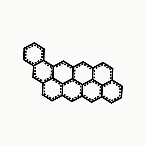 c1ccc2c(c1)cc1ccc3cc4cc5cccc6ccc7cc8cc2c1c3c8c4c7c65